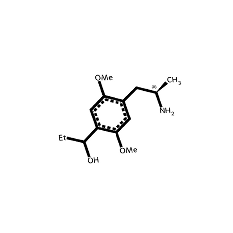 CCC(O)c1cc(OC)c(C[C@@H](C)N)cc1OC